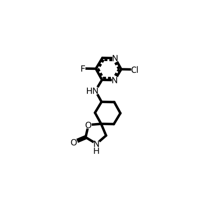 O=C1NCC2(CCCC(Nc3nc(Cl)ncc3F)C2)O1